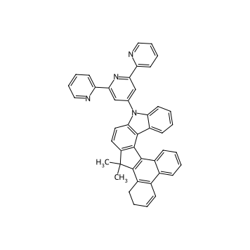 CC1(C)c2ccc3c(c2-c2c1c1c(c4ccccc24)C=CCC1)c1ccccc1n3-c1cc(-c2ccccn2)nc(-c2ccccn2)c1